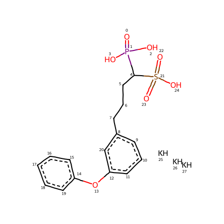 O=P(O)(O)C(CCCc1cccc(Oc2ccccc2)c1)S(=O)(=O)O.[KH].[KH].[KH]